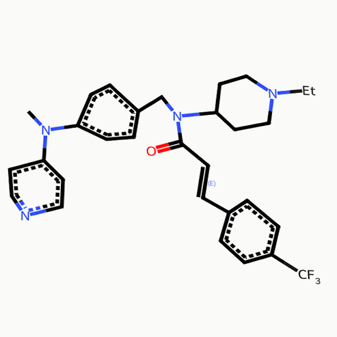 CCN1CCC(N(Cc2ccc(N(C)c3ccncc3)cc2)C(=O)/C=C/c2ccc(C(F)(F)F)cc2)CC1